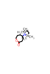 C[Si]1(C)CC[Si](C)(C)N1C1CCCOC(=O)CC1